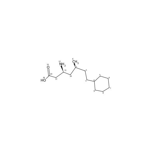 C[C@@H](CCC1CCCCC1)C[C@H](N)CC(=O)O